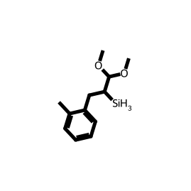 COC(OC)C([SiH3])Cc1ccccc1C